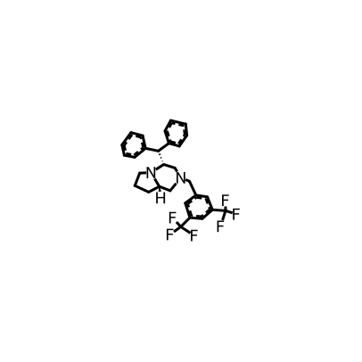 FC(F)(F)c1cc(CN2C[C@@H]3CCCN3[C@H](C(c3ccccc3)c3ccccc3)C2)cc(C(F)(F)F)c1